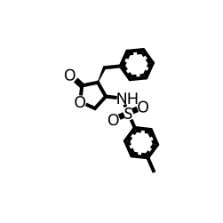 Cc1ccc(S(=O)(=O)NC2COC(=O)[C@H]2Cc2ccccc2)cc1